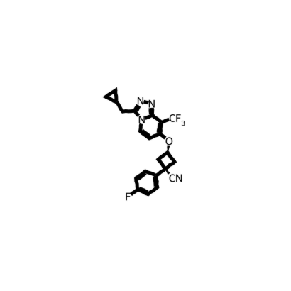 N#C[C@]1(c2ccc(F)cc2)C[C@H](Oc2ccn3c(CC4CC4)nnc3c2C(F)(F)F)C1